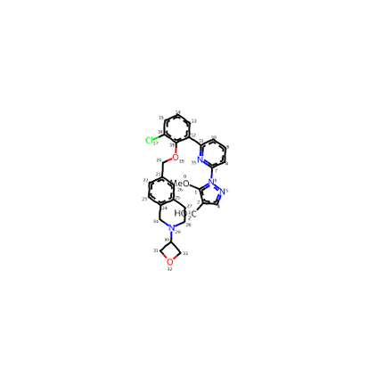 COc1c(C(=O)O)cnn1-c1cccc(-c2cccc(Cl)c2OCc2ccc3c(c2)CCN(C2COC2)C3)n1